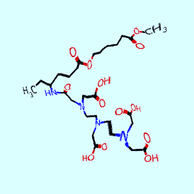 CCC(CCC(=O)OCCCCCC(=O)OC)NC(=O)CN(CCN(CCN(CC(=O)O)CC(=O)O)CC(=O)O)CC(=O)O